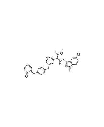 COC(=O)C(NCc1n[nH]c2ccc(Cl)cc12)c1cncc(Cc2ccc(Cn3ccccc3=O)cc2)c1